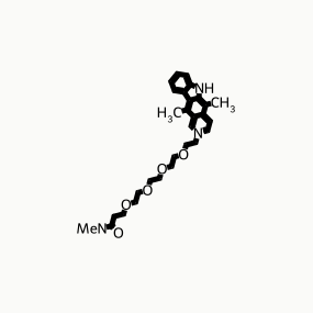 CNC(=O)CCOCCOCCOCCOCC[n+]1ccc2c(C)c3[nH]c4ccccc4c3c(C)c2c1